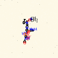 CN(C)COCC1CC(c2ccccc2C2CC2)N(C2CC3(CCN(c4ccc(C(=O)NS(=O)(=O)c5ccc(NCC6CCOCC6)c([N+](=O)[O-])c5)c(Oc5cnc6[nH]ccc6c5)c4)CC3)C2)C1